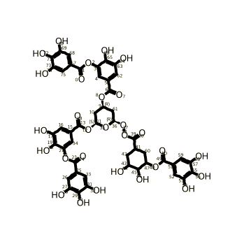 O=C(Oc1cc(C(=O)O[C@@H]2C[C@H](OC(=O)c3cc(O)c(O)c(OC(=O)c4cc(O)c(O)c(O)c4)c3)O[C@H](OOC(=O)C3CC(O)C(O)C(OC(=O)c4cc(O)c(O)c(O)c4)C3)C2)cc(O)c1O)c1cc(O)c(O)c(O)c1